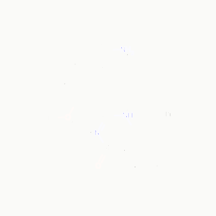 CCCc1cccc2c(=O)nc(-c3cc(SN)ccc3OCC)[nH]c12